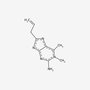 C=CCc1nc2nc(N)n(C)c(C)c-2n1